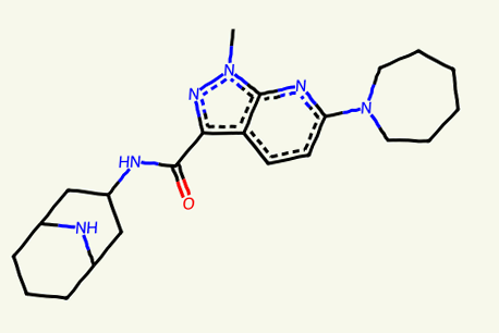 Cn1nc(C(=O)NC2CC3CCCC(C2)N3)c2ccc(N3CCCCCC3)nc21